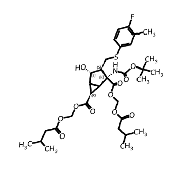 Cc1cc(SC[C@@H]2[C@@H](O)C3C([C@H]3C(=O)OCOC(=O)CC(C)C)[C@]2(NC(=O)OC(C)(C)C)C(=O)OCOC(=O)CC(C)C)ccc1F